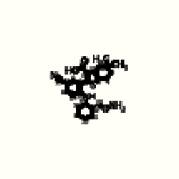 CC1(C)CCc2sc(-c3cc(C#N)ccc3N[C@@H]3CCCC[C@H]3CON)c(C(=O)O)c2C1